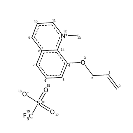 C=CCOc1cccc2ccc[n+](C)c12.O=S(=O)([O-])C(F)(F)F